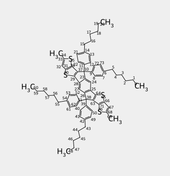 CCCCCCc1ccc(C2(c3ccc(CCCCCC)cc3)c3cc4c(cc3-c3sc5cc(C)sc5c32)C(c2ccc(CCCCCC)cc2)(c2ccc(CCCCCC)cc2)c2c-4sc3cc(C)sc23)cc1